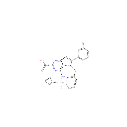 Cc1cccc(-c2cc3nc(C(=O)O)nc(N[C@H](C)C4CCC4)c3n2CC2=CCCC=C2)c1